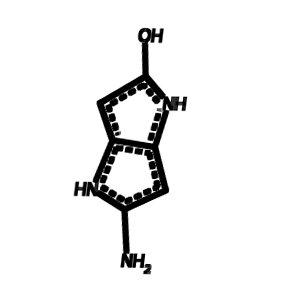 Nc1cc2[nH]c(O)cc2[nH]1